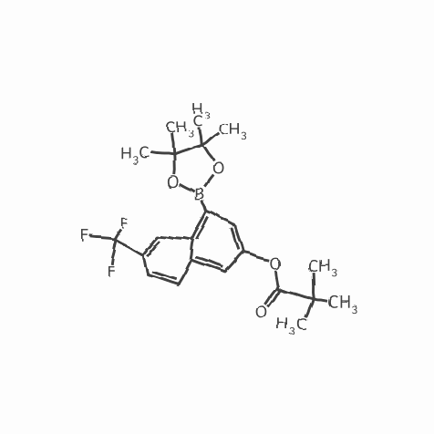 CC(C)(C)C(=O)Oc1cc(B2OC(C)(C)C(C)(C)O2)c2cc(C(F)(F)F)ccc2c1